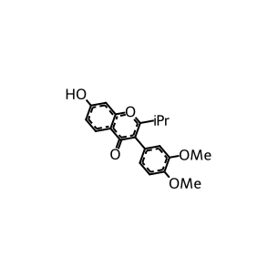 COc1ccc(-c2c(C(C)C)oc3cc(O)ccc3c2=O)cc1OC